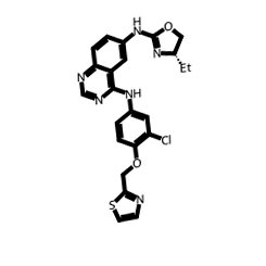 CC[C@H]1COC(Nc2ccc3ncnc(Nc4ccc(OCc5nccs5)c(Cl)c4)c3c2)=N1